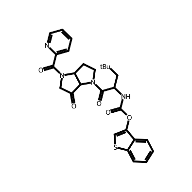 CC(C)(C)CC(NC(=O)Oc1csc2ccccc12)C(=O)N1CCC2C1C(=O)CN2C(=O)c1ccccn1